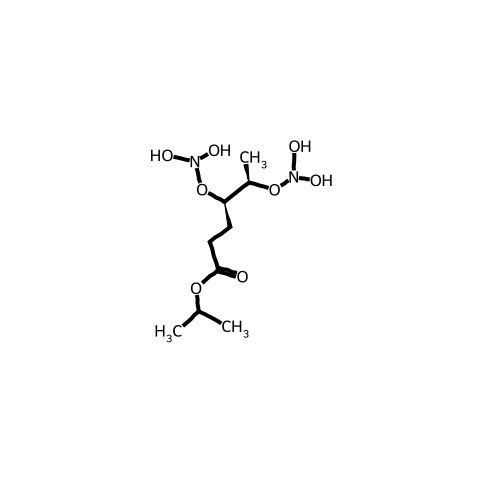 CC(C)OC(=O)CC[C@@H](ON(O)O)[C@@H](C)ON(O)O